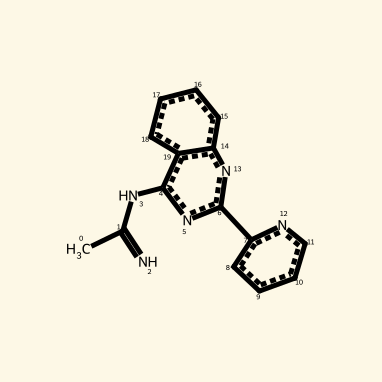 CC(=N)Nc1nc(-c2ccccn2)nc2ccccc12